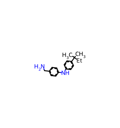 CCC(C)(C)c1ccc(Nc2ccc(CN)cc2)cc1